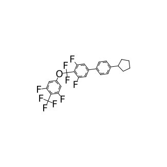 Fc1cc(OC(F)(F)c2c(F)cc(-c3ccc(C4CCCC4)cc3)cc2F)cc(F)c1C(F)(F)F